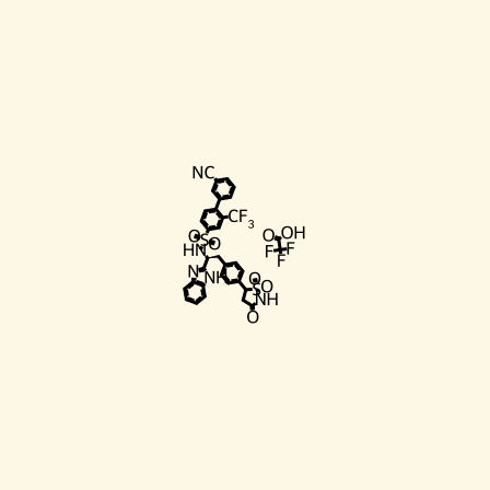 N#Cc1cccc(-c2ccc(S(=O)(=O)N[C@@H](Cc3ccc(C4CC(=O)NS4(=O)=O)cc3)c3nc4ccccc4[nH]3)cc2C(F)(F)F)c1.O=C(O)C(F)(F)F